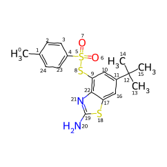 Cc1ccc(S(=O)(=O)Sc2cc(C(C)(C)C)cc3sc(N)nc23)cc1